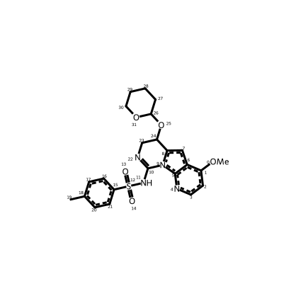 COc1ccnc2c1cc1n2C(NS(=O)(=O)c2ccc(C)cc2)=NCC1OC1CCCCO1